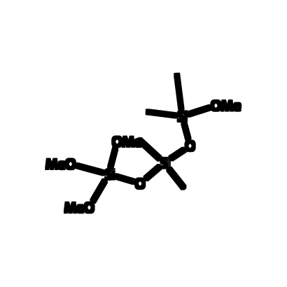 CO[Si](C)(C)O[Si](C)(C)O[Si](OC)(OC)OC